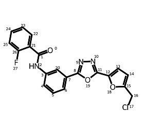 O=C(Nc1cccc(-c2nnc(-c3ccc(CCl)o3)o2)c1)c1ccccc1F